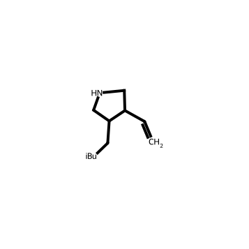 C=CC1CNCC1CC(C)CC